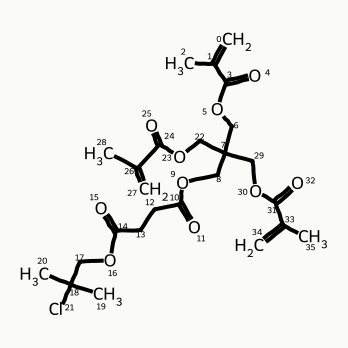 C=C(C)C(=O)OCC(COC(=O)CCC(=O)OCC(C)(C)Cl)(COC(=O)C(=C)C)COC(=O)C(=C)C